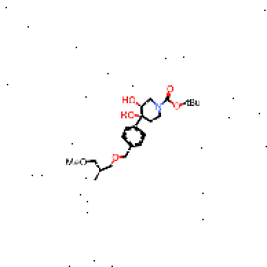 COC[C@H](C)COCc1ccc([C@@]2(O)CCN(C(=O)OC(C)(C)C)C[C@@H]2O)cc1